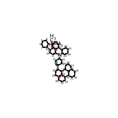 CC1(C)c2ccccc2-c2ccc(N(c3ccc(-c4ccccc4-c4cccc5cccc(-c6ccccc6)c45)cc3)c3ccccc3-c3ccccc3)cc21